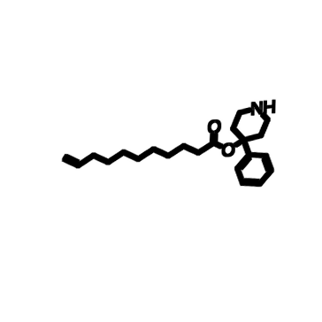 C=CCCCCCCCCC(=O)OC1(c2ccccc2)CCNCC1